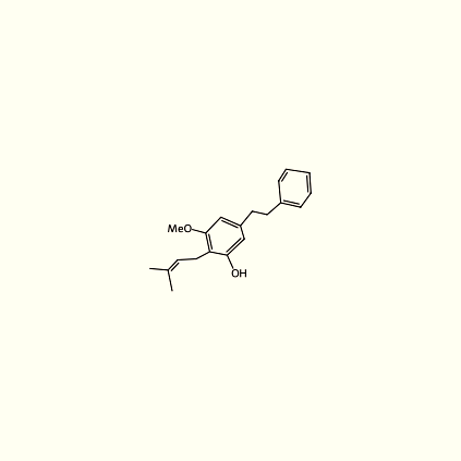 COc1cc(CCc2ccccc2)cc(O)c1CC=C(C)C